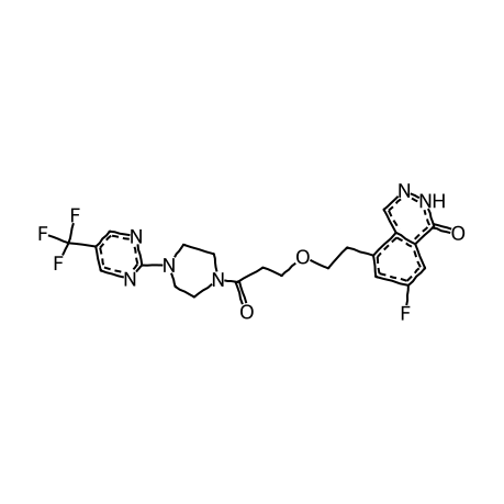 O=C(CCOCCc1cc(F)cc2c(=O)[nH]ncc12)N1CCN(c2ncc(C(F)(F)F)cn2)CC1